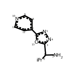 CC(C)C(N)c1nnc(-c2ccncc2)o1